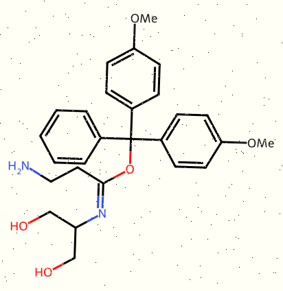 COc1ccc(C(OC(CCN)=NC(CO)CO)(c2ccccc2)c2ccc(OC)cc2)cc1